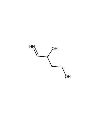 N=CC(O)CCO